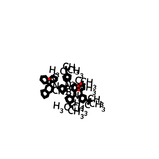 CC(C)(C)c1ccc(N2c3cc(N4c5ccccc5C5(c6ccccc6)Cc6ccccc6CC45C)ccc3B3c4ccc(C(C)(C)C)cc4N(c4ccc(C(C)(C)C)cc4-c4ccccc4)c4cc(C(C)(C)C)cc2c43)cc1